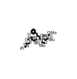 CCC(C)C(C(=O)NC(Cc1ccccc1)C(O)CN(CCC(C)(C)C)NC(=O)C(NC(=O)OC)C(C)(C)C)C1CNC(=O)N1Cc1csc(C(C)C)n1